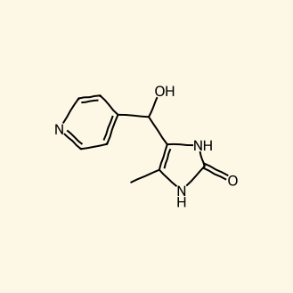 Cc1[nH]c(=O)[nH]c1C(O)c1ccncc1